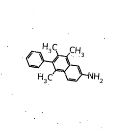 Cc1c(-c2ccccc2)c(C)c2ccc(N)cc2c1C